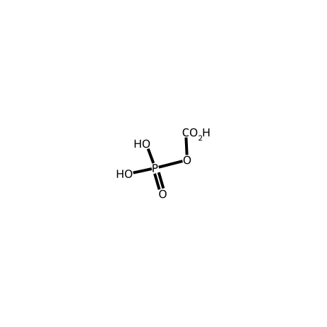 O=C(O)OP(=O)(O)O